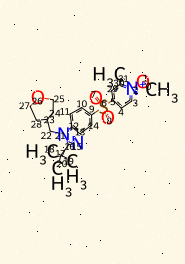 CO[n+]1ccc(S(=O)(=O)c2ccc3c(c2)nc(C(C)(C)C)n3CC2CCOCC2)cc1C